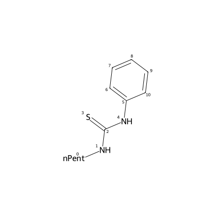 [CH2]CCCCNC(=S)Nc1ccccc1